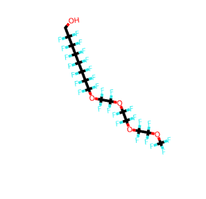 OCC(F)(F)C(F)(F)C(F)(F)C(F)(F)C(F)(F)C(F)(F)C(F)(F)OC(F)(F)C(F)(F)OC(F)(F)C(F)(F)OC(F)(F)C(F)(F)OC(F)(F)F